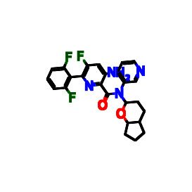 Nc1cc(F)c(-c2c(F)cccc2F)nc1C(=O)N(c1cccnc1)C1CCC2CCCC2O1